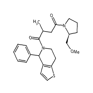 COC[C@@H]1CCCN1C(=O)CC(C)C(=O)N1CCc2sccc2C1c1ccccc1